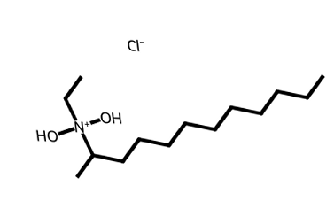 CCCCCCCCCCC(C)[N+](O)(O)CC.[Cl-]